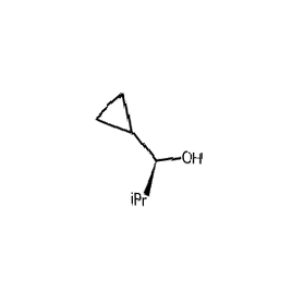 CC(C)[C@H](O)C1CC1